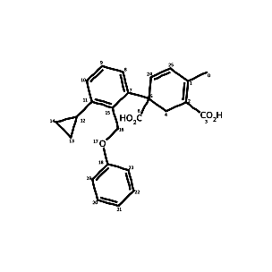 CC1=C(C(=O)O)CC(C(=O)O)(c2cccc(C3CC3)c2COc2ccccc2)C=C1